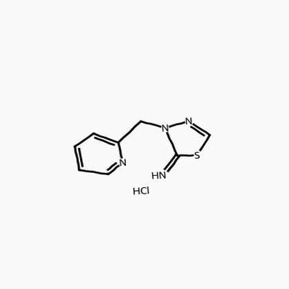 Cl.N=c1scnn1Cc1ccccn1